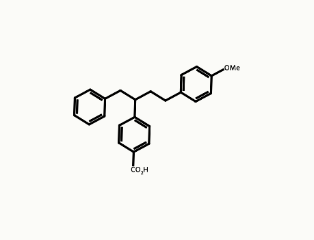 COc1ccc(CCC(Cc2ccccc2)c2ccc(C(=O)O)cc2)cc1